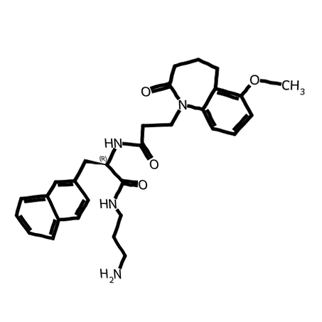 COc1cccc2c1CCCC(=O)N2CCC(=O)N[C@H](Cc1ccc2ccccc2c1)C(=O)NCCCN